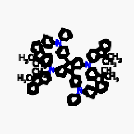 CC1(C)C2=CC(N(c3ccc4c(c3)C(C)(C)c3ccccc3-4)c3ccc4c(-c5ccc(N(C6=CCCC=C6)c6ccccc6)cc5)c5cc(N(c6ccc7c(c6)C(C)(C)c6ccccc6-7)c6ccc7c(c6)C(C)(C)c6ccccc6-7)ccc5c(-c5ccc(N(c6ccccc6)c6ccccc6)cc5)c4c3)CC=C2c2ccccc21